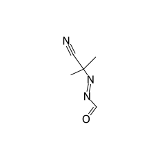 CC(C)(C#N)N=NC=O